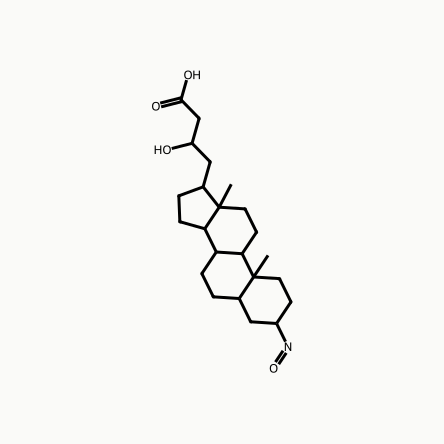 CC12CCC3C(CCC4CC(N=O)CCC43C)C1CCC2CC(O)CC(=O)O